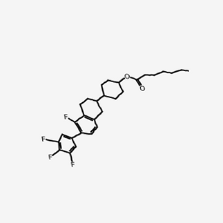 CCCCCCC(=O)OC1CCC(C2CCc3c(ccc(-c4cc(F)c(F)c(F)c4)c3F)C2)CC1